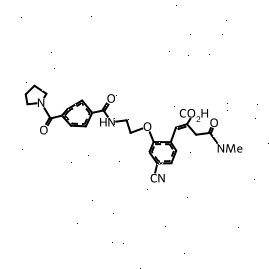 CNC(=O)CC(=Cc1ccc(C#N)cc1OCCNC(=O)c1ccc(C(=O)N2CCCC2)cc1)C(=O)O